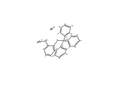 CCCOc1ccccc1C[P+](c1ccccc1)(c1ccccc1)c1ccccc1.[Br-]